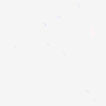 CC(=O)N1CCC(C2CN(c3cc(Nc4cc(OC(F)(F)F)ccn4)nc(-c4cccnc4)n3)C2)CC1